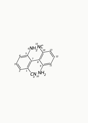 N#Cc1cccc(N)c1-c1c(N)cccc1C#N